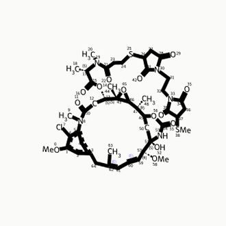 COc1cc2cc(c1Cl)N(C)C(=O)C[C@H](OC(=O)[C@H](C)N(C)C(=O)CCSC1CC(=O)N(CCN3C(=O)CC(SC)C3=O)C1=O)[C@]1(C)OC1[C@H](C)C1C[C@@](O)(NC(=O)O1)[C@H](OC)/C=C/C=C(\C)C2